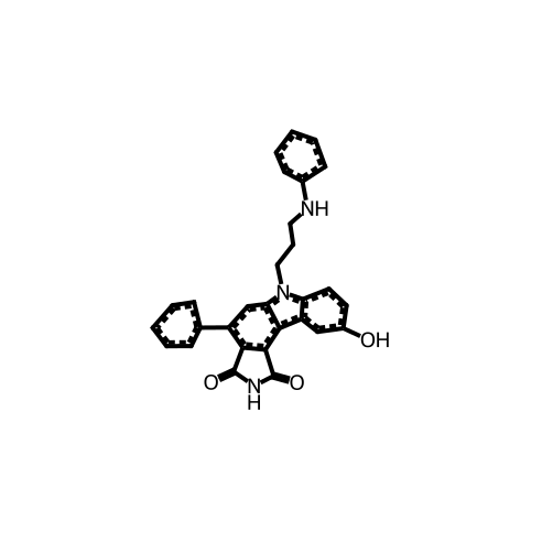 O=C1NC(=O)c2c1c(-c1ccccc1)cc1c2c2cc(O)ccc2n1CCCNc1ccccc1